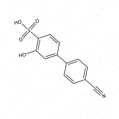 N#Cc1ccc(-c2ccc(S(=O)(=O)O)c(O)c2)cc1